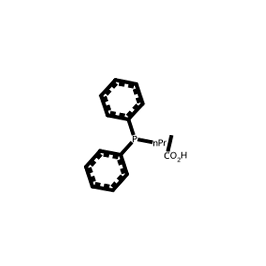 CC(=O)O.CCCP(c1ccccc1)c1ccccc1